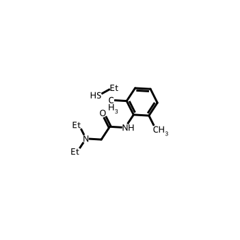 CCN(CC)CC(=O)Nc1c(C)cccc1C.CCS